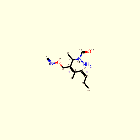 C=NOC/C(=C(C)/C=C\CC)C(C)N(N)C=O